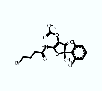 CC(=O)OC1=C(NC(=O)CCCBr)OC(C)(c2c(Cl)cccc2Cl)C1=O